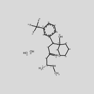 CN[C@H](C)CC(=N)CC(c1cccc(C(F)(F)F)c1)C1(O)CCCCC1.Cl.Cl